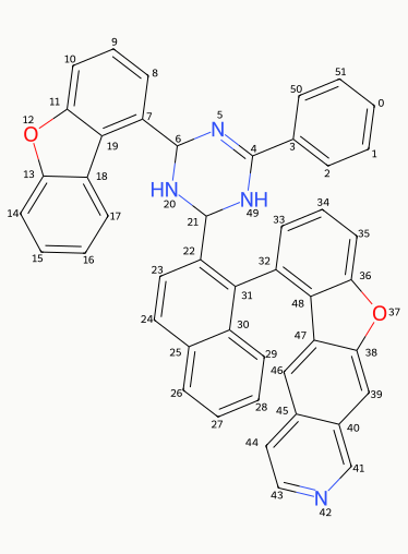 c1ccc(C2=NC(c3cccc4oc5ccccc5c34)NC(c3ccc4ccccc4c3-c3cccc4oc5cc6cnccc6cc5c34)N2)cc1